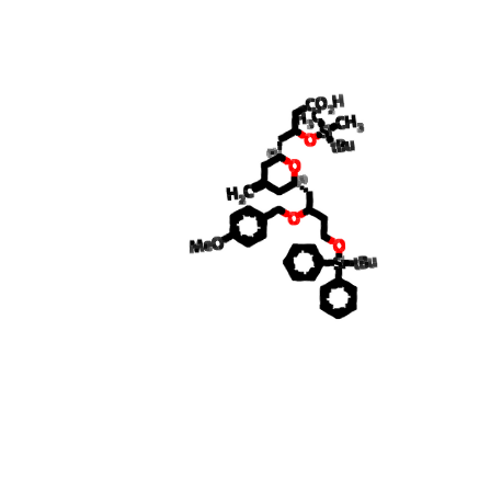 C=C1C[C@H](CC(CC(=O)O)O[Si](C)(C)C(C)(C)C)O[C@H](CC(CCO[Si](c2ccccc2)(c2ccccc2)C(C)(C)C)OCc2ccc(OC)cc2)C1